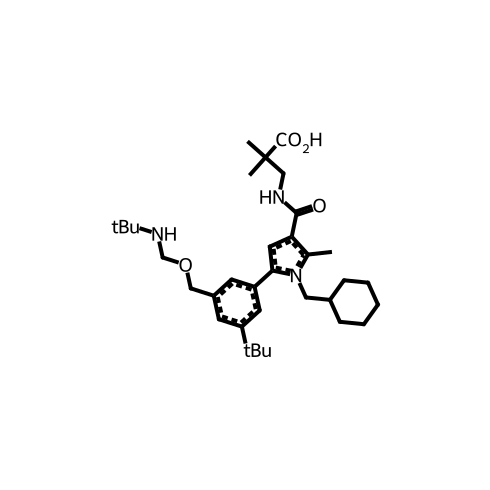 Cc1c(C(=O)NCC(C)(C)C(=O)O)cc(-c2cc(COCNC(C)(C)C)cc(C(C)(C)C)c2)n1CC1CCCCC1